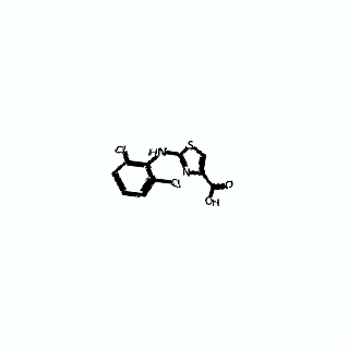 O=C(O)c1csc(Nc2c(Cl)cccc2Cl)n1